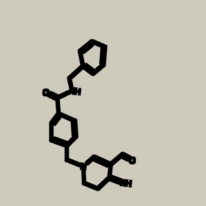 N=C1CCN(Cc2ccc(C(=O)NCc3ccccc3)cc2)C=C1C=O